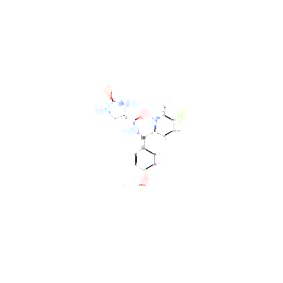 O=C1NC[C@@H](C(=O)N[C@H](c2ccc(OC(F)(F)F)cc2)c2ccc(F)c(C(F)(F)F)n2)N1